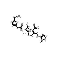 Cn1nnnc1SCC1=C(C(=O)O)N2C(=O)[C@@H](NC(=O)Cc3ccc(CN)s3)[C@@H]2SC1